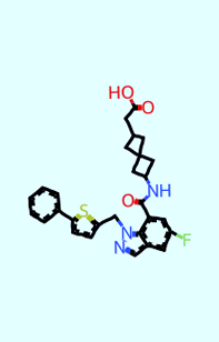 O=C(O)CC1CC2(C1)CC(NC(=O)c1cc(F)cc3cnn(Cc4ccc(-c5ccccc5)s4)c13)C2